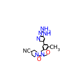 Cc1cc(-c2cnc3nc(N)[nH]c3c2)cc2c1OCCN(C(=O)N1CCC(C#N)CC1)C2